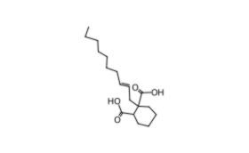 CCCCCCCC=CCC1(C(=O)O)CCCCC1C(=O)O